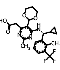 Cc1nc(CC(=O)O)c(C2OCCCO2)c(N[C@@H](c2cccc(C(F)(F)F)c2C)C2CC2)n1